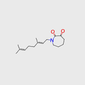 CC(C)=CCC/C(C)=C/CN1CCCCC(=O)C1=O